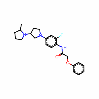 CC1CCCN1C1CCN(c2ccc(NC(=O)COc3ccccc3)c(F)c2)C1